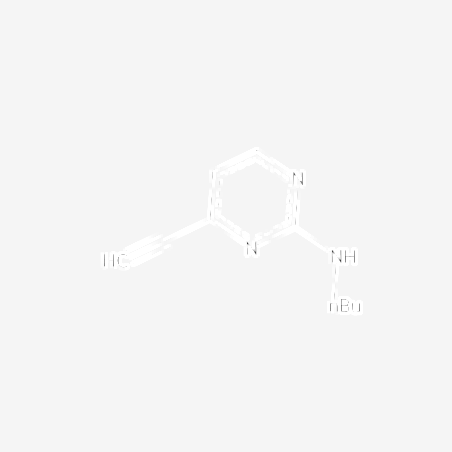 C#Cc1ccnc(NCCCC)n1